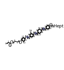 C=CC(=O)OCCCCOc1ccc(/N=N/c2ccc(/N=N/c3ccc(/N=N/c4ccc(OCCCCCCC)cc4)cc3)c(C)c2)cc1